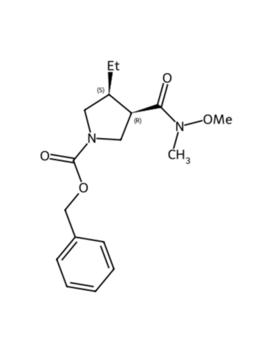 CC[C@@H]1CN(C(=O)OCc2ccccc2)C[C@@H]1C(=O)N(C)OC